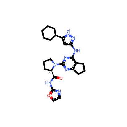 O=C(Nc1ncco1)[C@H]1CCCN1c1nc2c(c(Nc3cc(C4CCCCC4)[nH]n3)n1)CCC2